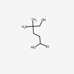 CCC(O)CCC(C)(N)CO